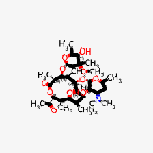 COC1(C)C[C@H](O[C@H]2[C@H](C)[C@@H](O[C@@H]3OC(C)CC(N(C)C)C3O)[C@@]3(C)CC(C)C(O3)[C@H](C)[C@H](C(C)=O)OC(=O)[C@@H]2C)OC(C)[C@@H]1O